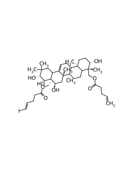 C=CCCC(=O)OC[C@]1(C)C2CC[C@]3(C)C(CC=C4C5CC(C)(C)[C@@H](O)[C@H](O)[C@]5(COC(=O)CC/C=C/I)[C@H](O)C[C@]43C)[C@@]2(C)CC[C@@H]1O